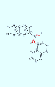 O=C(Oc1cccc2ccccc12)C1CC2CC1C1C3C=CC(C3)C21